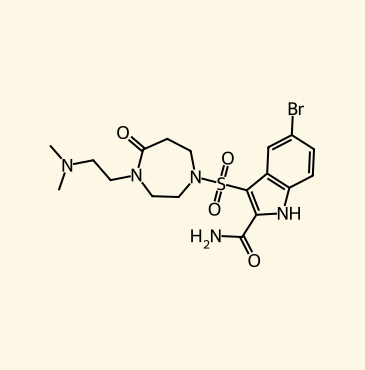 CN(C)CCN1CCN(S(=O)(=O)c2c(C(N)=O)[nH]c3ccc(Br)cc23)CCC1=O